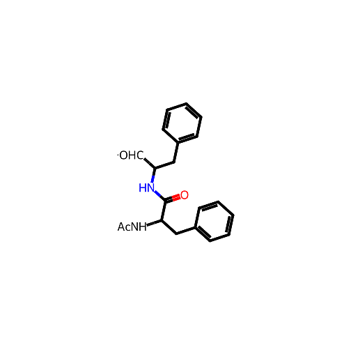 CC(=O)NC(Cc1ccccc1)C(=O)NC([C]=O)Cc1ccccc1